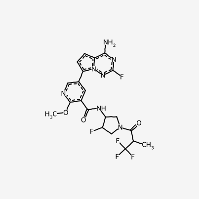 COc1ncc(-c2ccc3c(N)nc(F)nn23)cc1C(=O)NC1CN(C(=O)C(C)C(F)(F)F)CC1F